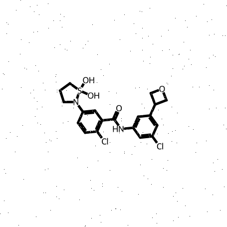 O=C(Nc1cc(Cl)cc(C2COC2)c1)c1cc(N2CCCS2(O)O)ccc1Cl